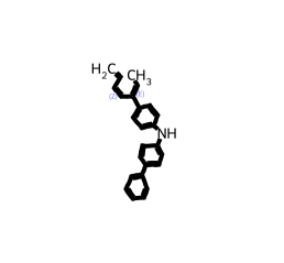 C=C/C=C\C(=C/C)c1ccc(Nc2ccc(-c3ccccc3)cc2)cc1